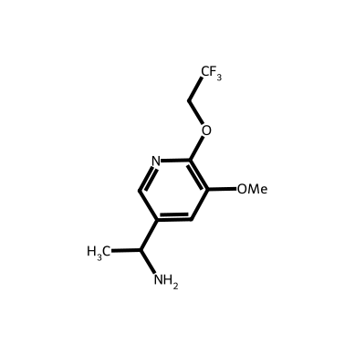 COc1cc(C(C)N)cnc1OCC(F)(F)F